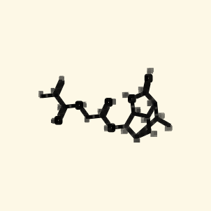 C=C(C)C(=O)OCC(=O)OC1C2CC3C1OC(=O)C3C2C